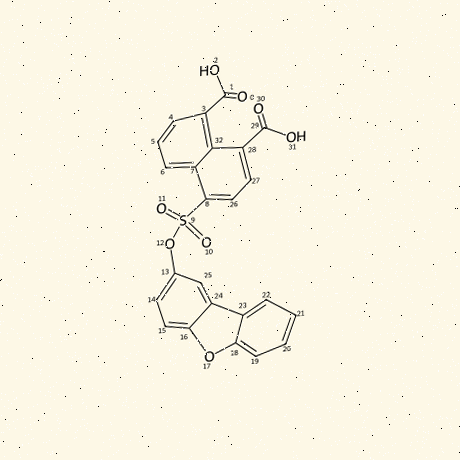 O=C(O)c1cccc2c(S(=O)(=O)Oc3ccc4oc5ccccc5c4c3)ccc(C(=O)O)c12